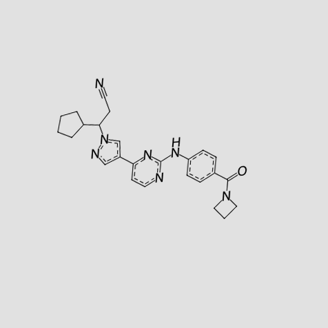 N#CCC(C1CCCC1)n1cc(-c2ccnc(Nc3ccc(C(=O)N4CCC4)cc3)n2)cn1